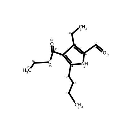 CCCCc1[nH]c(C=O)c(CC)c1C(=O)OCC